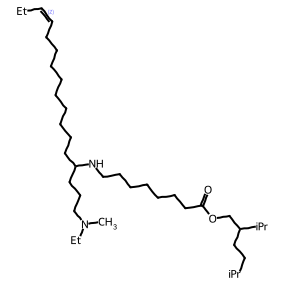 CC/C=C\CCCCCCCCCC(CCCN(C)CC)NCCCCCCCC(=O)OCC(CCC(C)C)C(C)C